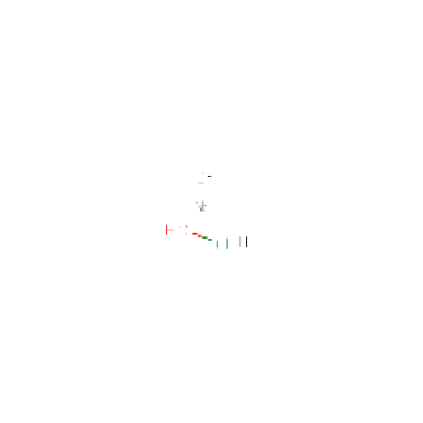 OCl.[Al].[Hf].[Zr]